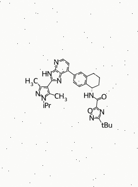 Cc1nn(C(C)C)c(C)c1-c1nc2c(-c3ccc4c(c3)CCC[C@@H]4NC(=O)c3nc(C(C)(C)C)no3)ccnc2[nH]1